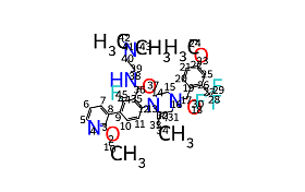 CCOc1ncccc1-c1ccc(N2CCN(C(=O)c3ccc(OC)cc3C(F)(F)F)C[C@H]2CC)c(C(=O)NCCN(C)C)c1F